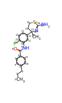 CCCc1ccc(C(=O)Nc2cc(C3(C)CCSC(N)=N3)ccc2F)cc1